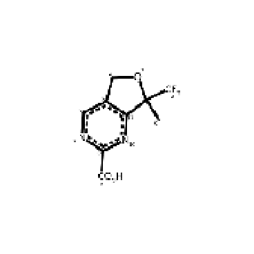 CC1(C(F)(F)F)OCc2cnc(C(=O)O)nc21